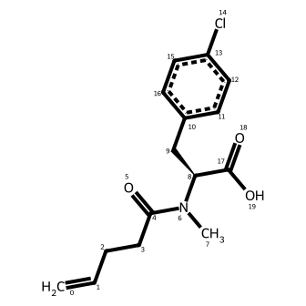 C=CCCC(=O)N(C)[C@@H](Cc1ccc(Cl)cc1)C(=O)O